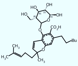 CCC(C)CCc1cc2c(c(OC3O[C@H](O)[C@@H](O)[C@H](O)[C@H]3CO)c1C(=O)O)C=CC(C)(CCC=C(C)C)O2